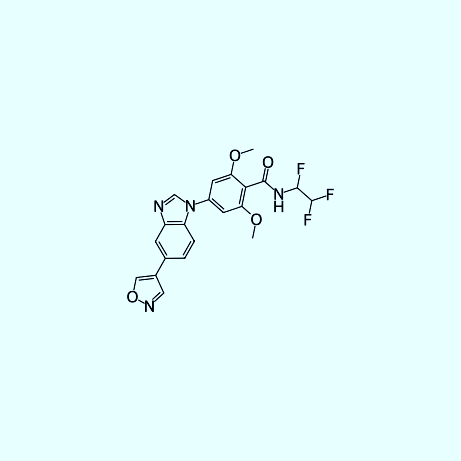 COc1cc(-n2cnc3cc(-c4cnoc4)ccc32)cc(OC)c1C(=O)NC(F)C(F)F